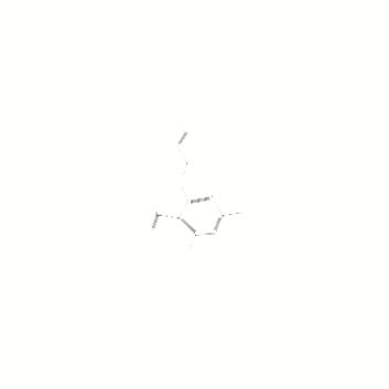 C=CCOc1cc(I)cc(O)c1C(C)=O